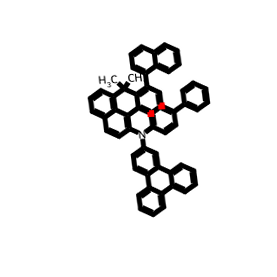 CC1(C)c2c(-c3cccc4ccccc34)cccc2-c2c(N(c3ccc(-c4ccccc4)cc3)c3ccc4c5ccccc5c5ccccc5c4c3)ccc3cccc1c23